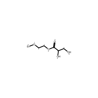 CCOCCOC(=O)C(O)CO